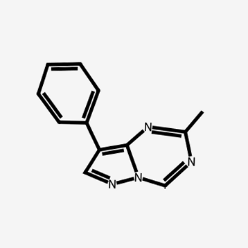 Cc1n[c]n2ncc(-c3ccccc3)c2n1